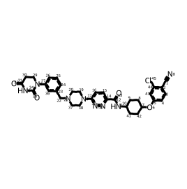 N#Cc1ccc(OC2CCC(NC(=O)c3ccc(N4CCN(Cc5cccc(N6CCC(=O)NC6=O)c5)CC4)nn3)CC2)cc1Cl